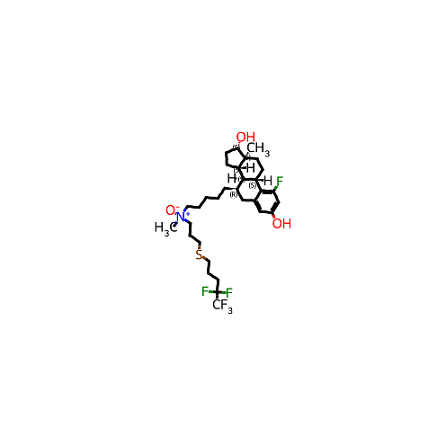 C[C@]12CC[C@@H]3c4c(F)cc(O)cc4C[C@@H](CCCCC[N+](C)([O-])CCCSCCCC(F)(F)C(F)(F)F)[C@H]3[C@@H]1CC[C@@H]2O